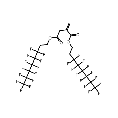 C=C(CC(=O)OCCC(F)(F)C(F)(F)C(F)(F)C(F)(F)C(F)(F)C(F)(F)F)C(=O)OCCC(F)(F)C(F)(F)C(F)(F)C(F)(F)C(F)(F)C(F)(F)F